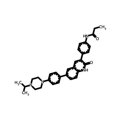 CCC(=O)Nc1ccc(-c2cc3cc(-c4ccc(N5CCN(C(C)C)CC5)cc4)ccc3[nH]c2=O)cc1